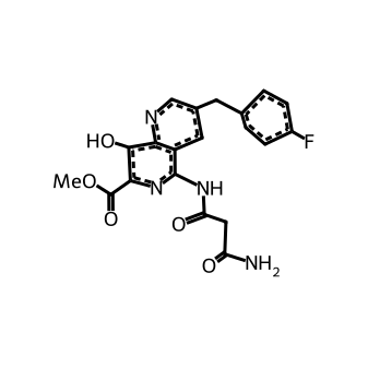 COC(=O)c1nc(NC(=O)CC(N)=O)c2cc(Cc3ccc(F)cc3)cnc2c1O